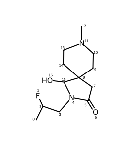 CC(F)CN1C(=O)CC2(CCN(C)CC2)C1O